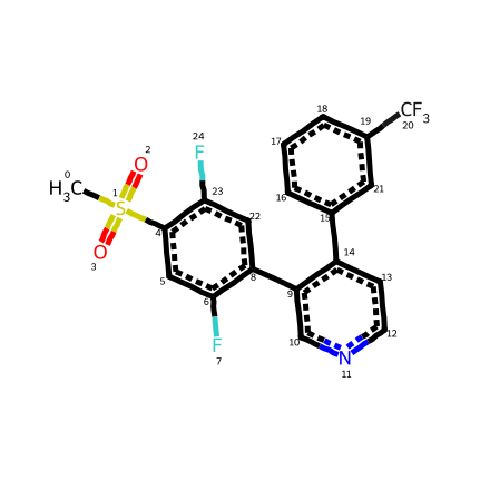 CS(=O)(=O)c1cc(F)c(-c2cnccc2-c2cccc(C(F)(F)F)c2)cc1F